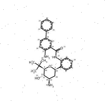 CC(C)(C)[C@H]1O[C@@H](c2ccncc2NC(=O)c2nc(-c3ccccc3)cnc2N)C[C@@H](N)[C@@H]1O